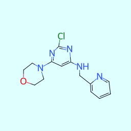 Clc1nc(NCc2ccccn2)cc(N2CCOCC2)n1